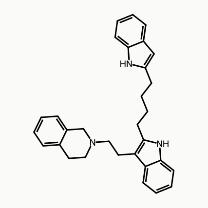 c1ccc2c(c1)CCN(CCc1c(CCCCc3cc4ccccc4[nH]3)[nH]c3ccccc13)C2